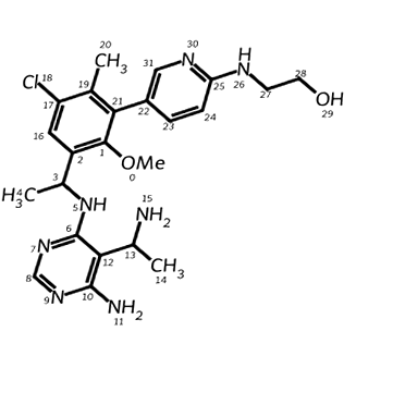 COc1c(C(C)Nc2ncnc(N)c2C(C)N)cc(Cl)c(C)c1-c1ccc(NCCO)nc1